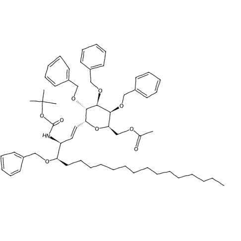 CCCCCCCCCCCCCCC[C@@H](OCc1ccccc1)[C@H](/C=C/[C@H]1O[C@H](COC(C)=O)[C@H](OCc2ccccc2)[C@H](OCc2ccccc2)[C@H]1OCc1ccccc1)NC(=O)OC(C)(C)C